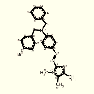 Cc1sc(/N=N/c2ccc(N(Cc3ccccc3)Cc3ccccc3)cc2)[n+](C)c1C.[Br-]